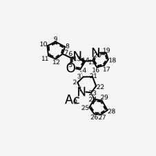 CC(=O)N1C[C@H](c2oc(-c3ccccc3)nc2-c2ccccn2)CC[C@H]1c1ccccc1